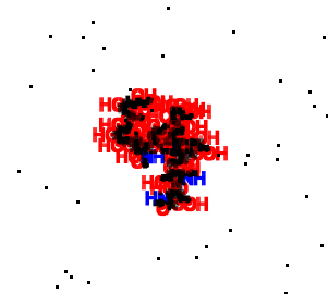 CC(=O)NC1C(O)[C@H](O[C@@H]2OC(CO[C@]3(OC=O)C[C@@H](O)[C@@H](C)C(C(O)C(O)CO)O3)[C@H](O)[C@H](O)C2O)[C@H](CO)O[C@H]1OC1[C@@H](OCC2O[C@@H](O[C@@H]3C(CO)O[C@@H](O[C@@H]4C(CO)O[C@@H](C)C(NC(C)=O)[C@H]4O)C(NC(C)=O)[C@H]3O)C(O)[C@@H](O[C@H]3OC(CO)[C@@H](O)C(O)C3O[C@@H]3OC(CO)[C@@H](O[C@@H]4OC(CO)C(O)(O)[C@H](O)C4O)[C@H](O)C3NC(C)=O)[C@@H]2O)OC(CO)[C@@H](O)[C@@H]1O